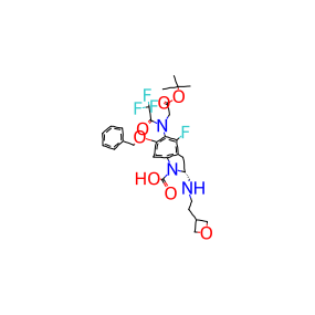 CC(C)(C)OC(=O)CN(C(=O)C(F)(F)F)c1c(OCc2ccccc2)cc2c(c1F)C[C@H](CNCCC1COC1)N2C(=O)O